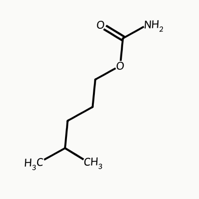 CC(C)CCCOC(N)=O